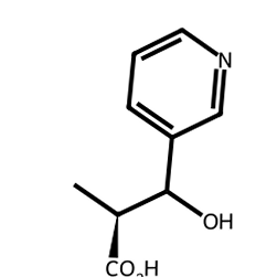 C[C@H](C(=O)O)C(O)c1cccnc1